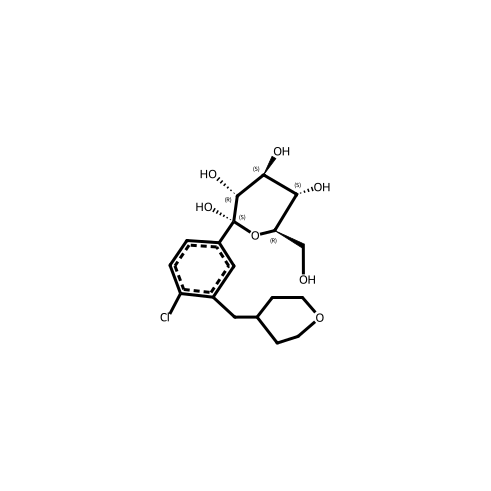 OC[C@H]1O[C@@](O)(c2ccc(Cl)c(CC3CCOCC3)c2)[C@H](O)[C@@H](O)[C@@H]1O